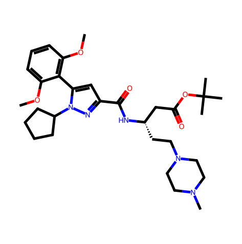 COc1cccc(OC)c1-c1cc(C(=O)N[C@@H](CCN2CCN(C)CC2)CC(=O)OC(C)(C)C)nn1C1CCCC1